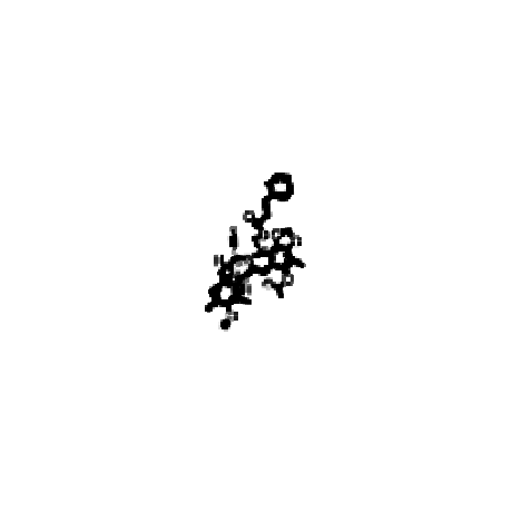 COc1c(C)cc2c(c1C)[C@@H]1C3Cc4c(OC(C)=O)c(C)c5c(c4[C@H](COC(=O)CCc4ccccc4)N3[C@@H](C#N)[C@H](C2)N1C)OCO5